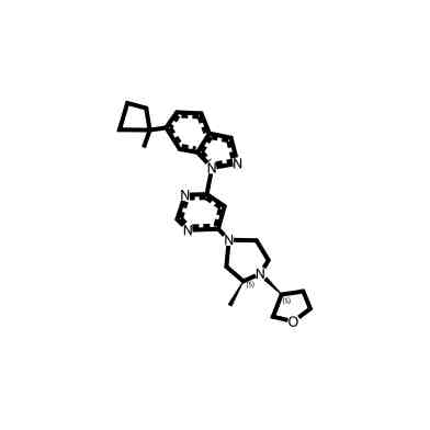 C[C@H]1CN(c2cc(-n3ncc4ccc(C5(C)CCC5)cc43)ncn2)CCN1[C@H]1CCOC1